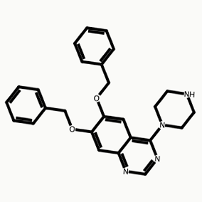 c1ccc(COc2cc3ncnc(N4CCNCC4)c3cc2OCc2ccccc2)cc1